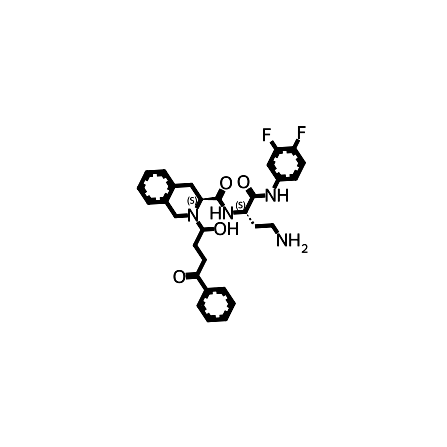 NCC[C@H](NC(=O)[C@@H]1Cc2ccccc2CN1C(O)CCC(=O)c1ccccc1)C(=O)Nc1ccc(F)c(F)c1